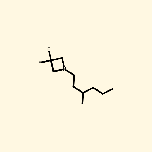 CCCC(C)CCN1CC(F)(F)C1